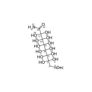 CCCCCCCCCCCC(O)(O)C(O)(O)C(O)(O)C(O)(O)C(O)(O)C(O)(O)C(N)=O